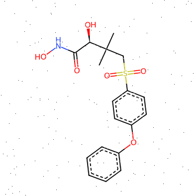 CC(C)(CS(=O)(=O)c1ccc(Oc2ccccc2)cc1)[C@H](O)C(=O)NO